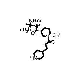 CC(=O)N[C@@](C)(NC(=O)[C@@H]1CCCN(C(=O)CCC2CCNCC2)C1)C(=O)O.Cl